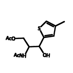 CC(=O)NC(COC(C)=O)C(O)c1cc(C)cs1